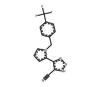 N#Cc1[nH]nnc1-c1cccn1Cc1ccc(C(F)(F)F)cc1